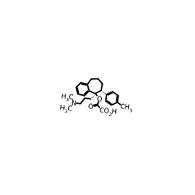 Cc1ccc([C@H]2CCCc3ccccc3[C@]2(CCCN(C)C)OC(=O)C(=O)O)cc1